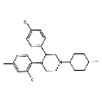 Cc1ccc(N2CCN(C3CCC(C)CC3)CC2c2ccc(Cl)cc2)c(Cl)c1